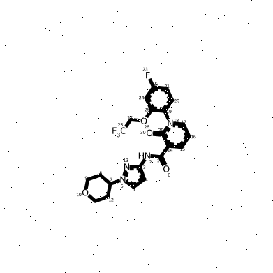 O=C(Nc1ccn(C2CCOCC2)n1)c1cccn(-c2ccc(F)cc2OCC(F)(F)F)c1=O